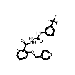 O=C(NNC(=O)c1ncccc1OCc1ccncc1)Nc1cccc(C(F)(F)F)c1